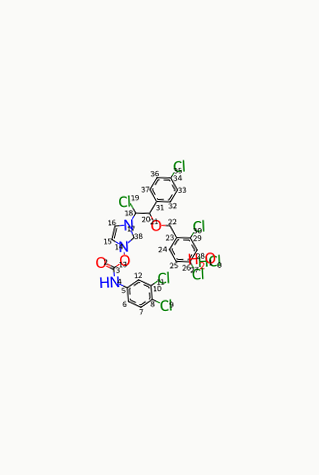 Cl.O.O=C(Nc1ccc(Cl)c(Cl)c1)ON1C=CN(C(Cl)C(OCc2ccc(Cl)cc2Cl)c2ccc(Cl)cc2)C1